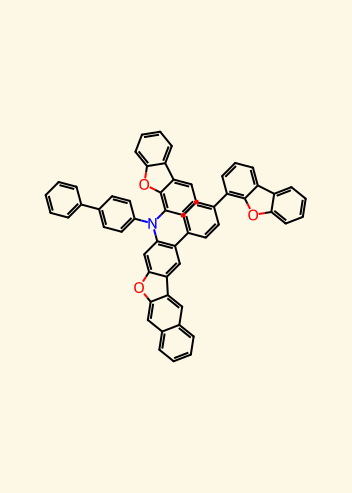 c1ccc(-c2ccc(N(c3cc4oc5cc6ccccc6cc5c4cc3-c3ccc(-c4cccc5c4oc4ccccc45)cc3)c3cccc4c3oc3ccccc34)cc2)cc1